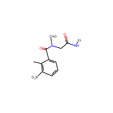 CCNC(=O)CN(C=O)C(=O)c1cccc([N+](=O)[O-])c1C